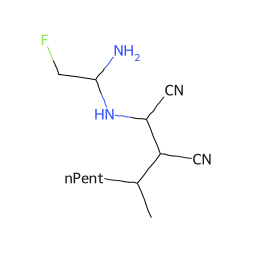 CCCCCC(C)C(C#N)C(C#N)NC(N)CF